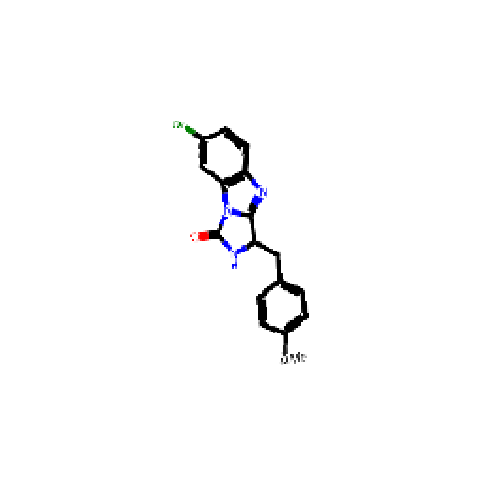 COc1ccc(CC2NC(=O)n3c2nc2ccc(Br)cc23)cc1